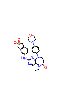 CCN1C(=O)CCN(c2ccc(N3CCOCC3)cc2)c2nc(Nc3ccc4c(c3)CS(=O)(=O)C4)ncc21